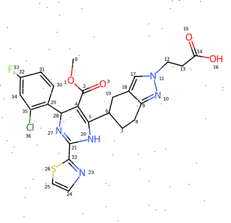 COC(=O)C1=C(C2CCc3nn(CCC(=O)O)cc3C2)NC(c2nccs2)=NC1c1ccc(F)cc1Cl